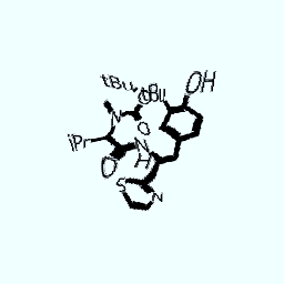 CC(C)C(C(=O)NC(Cc1ccc(O)c(C(C)(C)C)c1)c1nccs1)N(C)C(=O)OC(C)(C)C